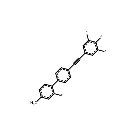 Cc1ccc(-c2ccc(C#Cc3cc(F)c(F)c(F)c3)cc2)c(F)c1